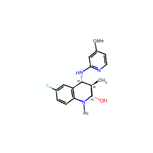 COc1ccnc(N[C@H]2c3cc(F)ccc3N(C(C)=O)[C@@H](O)[C@@H]2C)c1